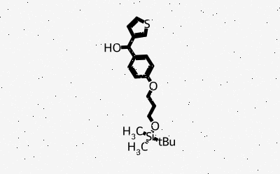 CC(C)(C)[Si](C)(C)OCCCOc1ccc(C(O)c2ccsc2)cc1